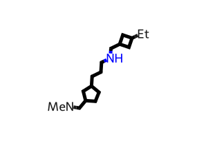 CCC1CC(CNCCCC2CCC(CNC)C2)C1